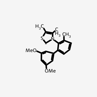 COc1cc(OC)cc(-c2cccc(C)c2N2[C]SC(C)=C2C)c1